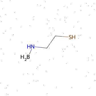 BNCCS